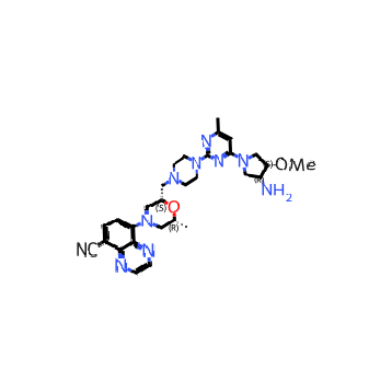 CO[C@H]1CN(c2cc(C)nc(N3CCN(C[C@H]4CN(c5ccc(C#N)c6nccnc56)C[C@@H](C)O4)CC3)n2)C[C@H]1N